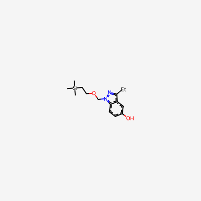 CCc1nn(COCC[Si](C)(C)C)c2ccc(O)cc12